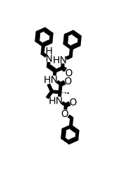 CC(C)[C@](C)(NC(=O)OCc1ccccc1)C(=O)NC(=CNCc1ccccc1)C(=O)NCc1ccccc1